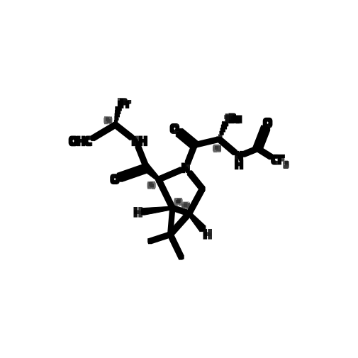 CC(C)[C@@H](C=O)NC(=O)[C@@H]1[C@@H]2[C@H](CN1C(=O)[C@@H](NC(=O)C(F)(F)F)C(C)(C)C)C2(C)C